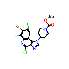 CC(C)(C)OC(=O)N1CCC(n2cnc3c(Cl)nc4c(F)c(Br)c(Cl)cc4c32)CC1